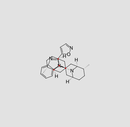 C[C@@H]1CC[C@@H]2C[C@H]1C[C@@H](N1[C@H]3CC[C@@H](C)[C@@H]1C[C@H](n1c(-c4ccno4)nc4ccccc41)C3)C2